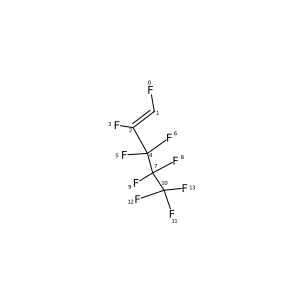 F/C=C(\F)C(F)(F)C(F)(F)C(F)(F)F